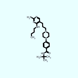 CCCCNc1nc(N)ncc1CCCN1CCN(c2ccc(C(=O)NC(C)(C)C)cc2)CC1